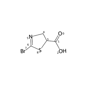 O=C(O)C1CN=C(Br)S1